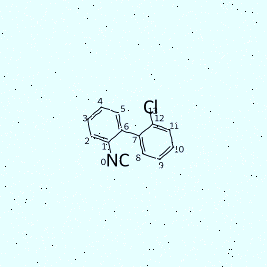 [C-]#[N+]c1ccccc1-c1ccccc1Cl